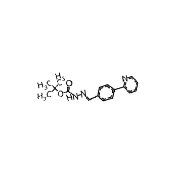 CC(C)(C)OC(=O)NN=Cc1ccc(-c2ccccn2)cc1